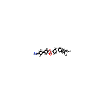 C[SiH2]CC[SiH2][C@H]1CC[C@H](c2ccc(C(=O)Oc3ccc(-c4ccc(C#N)cc4)cc3)cc2)CC1